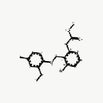 CCc1cc(C)ccc1OCc1c(Br)cccc1CC(=O)OC